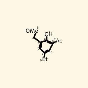 CCc1cc(COC)c(O)c(C(C)=O)c1